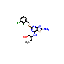 CC[C@H](CO)Nc1nc(SCc2cccc(F)c2F)nc2nc(N)sc12